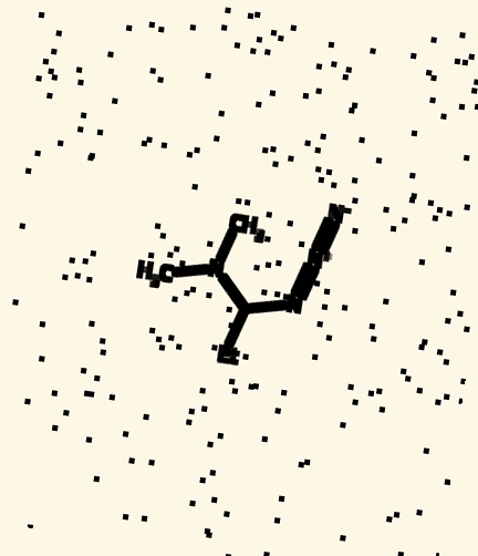 CCC(N=[N+]=[N-])N(C)C